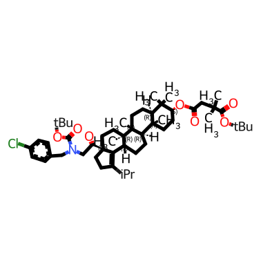 CC(C)C1=C2[C@H]3CC[C@@H]4[C@@]5(C)CC[C@H](OC(=O)CC(C)(C)C(=O)OC(C)(C)C)C(C)(C)[C@@H]5CC[C@@]4(C)[C@]3(C)CC[C@@]2(C(=O)CN(Cc2ccc(Cl)cc2)C(=O)OC(C)(C)C)CC1